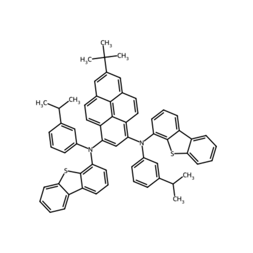 CC(C)c1cccc(N(c2cc(N(c3cccc(C(C)C)c3)c3cccc4c3sc3ccccc34)c3ccc4cc(C(C)(C)C)cc5ccc2c3c54)c2cccc3c2sc2ccccc23)c1